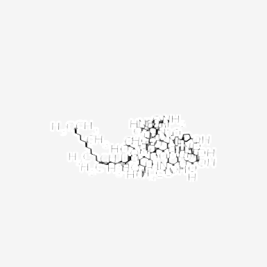 C=C(C/C=C(\C)CCC=C(C)C)CCC(C)(C)/C=C/CC/C(C)=C\CO[C@H](COP(=O)(O)O[C@H]1OC(C(N)=O)[C@@](C)(O)[C@H](OC(N)=O)C1O[C@@H]1OC(CO[C@@H]2OC(CO)[C@@H](O)[C@H](O)C2O)[C@@H](O[C@@H]2OC(C)[C@@H](O[C@@H]3OC(C(=O)NC4=C(O)CCC4=O)[C@H](O)[C@H](O)C3O)[C@H](O)C2NC(C)=O)[C@H](O)C1NC(C)=O)C(=O)O